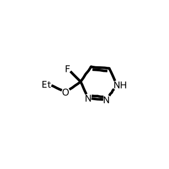 CCOC1(F)C=CNN=N1